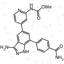 COC(=O)Nc1cc(-c2cc(-c3ccc(C(N)=O)cc3)c3[nH]nc(N)c3c2)ccn1